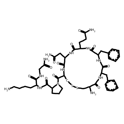 NCCCCC(NC(=O)C1CCCN1C(=O)C1CSSCC(N)C(=O)NC(Cc2ccccc2)C(=O)NC(Cc2ccccc2)C(=O)NC(CCC(N)=O)C(=O)NC(CC(N)=O)C(=O)N1)C(=O)NCC(N)=O